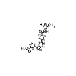 CC(=O)c1cccc(-c2cnc3cnc(-c4ccc(C(=O)NCCN(C)C)cc4)cn23)c1